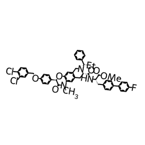 CC[C@@H](c1ccccc1)N1Cc2cc3c(cc2C[C@H]1C(=O)N[C@@H](Cc1ccc(-c2ccc(F)cc2)cc1)C(=O)OC)N(C)C(=O)[C@@H](c1ccc(OCc2ccc(Cl)c(Cl)c2)cc1)O3